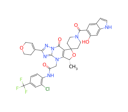 C[C@H]1OC2(CCN(C(=O)c3cc4cc[nH]c4cc3O)CC2)c2c1n(CC(=O)Nc1ccc(C(F)(F)F)cc1Cl)c1nc(C3=CCOCC3)nn1c2=O